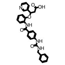 O=C(O)CC(Oc1ccccc1NC(=O)c1ccc(NC(=O)NCc2ccccc2)cc1)c1cccnc1